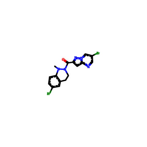 CN1c2ccc(Br)cc2CCN1C(=O)c1cc2ncc(Br)cn2n1